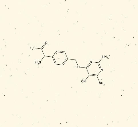 Nc1nc(N)c(N=O)c(OCc2ccc(C(N)C(=O)C(F)(F)F)cc2)n1